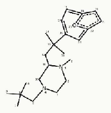 CN1CCN(CC(C)(C)C)CC1CC(C)(C)C1=CC=c2ccc(o2)=C1